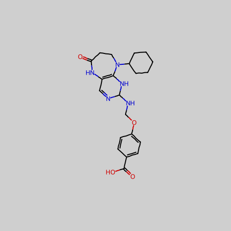 O=C1CCN(C2CCCCC2)C2=C(C=NC(NCOc3ccc(C(=O)O)cc3)N2)N1